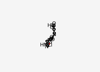 O=C1CCC(c2ccc(C3CCN(CCCS(=O)(=O)N4CCN(c5cccc(C6(C7CC7)CNc7nccc(Cl)c76)c5)C(=O)C4)CC3)cc2)C(=O)N1